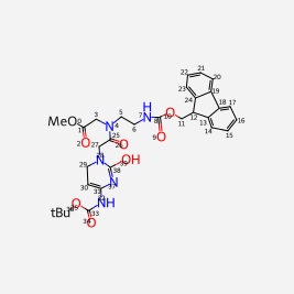 COC(=O)CN(CCNC(=O)OCC1c2ccccc2-c2ccccc21)C(=O)CN1CC=C(NC(=O)OC(C)(C)C)N=C1O